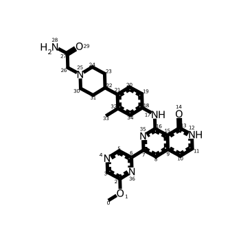 COc1cncc(-c2cc3cc[nH]c(=O)c3c(Nc3ccc(C4CCN(CC(N)=O)CC4)c(C)c3)n2)n1